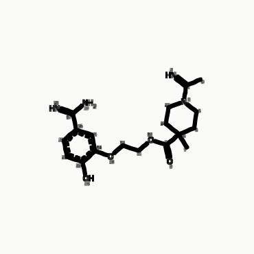 CC(=N)N1CCC(C)(C(=O)OCCOc2cc(C(=N)N)ccc2O)CC1